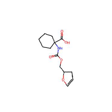 O=C(NC1(C(=O)O)CCCCC1)OCC1CC=CO1